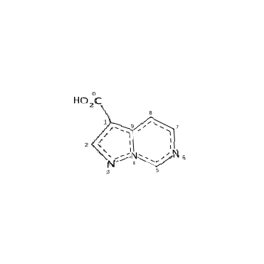 O=C(O)c1cnn2cnccc12